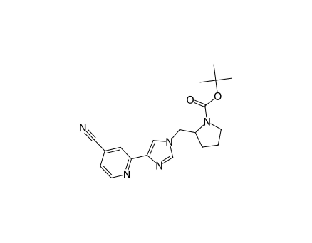 CC(C)(C)OC(=O)N1CCCC1Cn1cnc(-c2cc(C#N)ccn2)c1